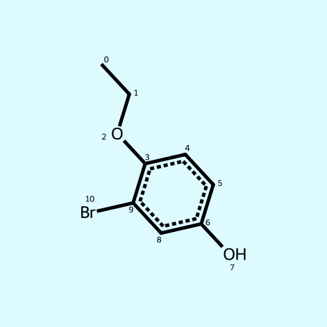 CCOc1ccc(O)cc1Br